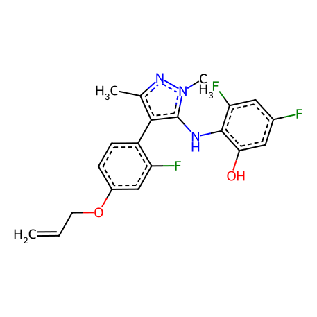 C=CCOc1ccc(-c2c(C)nn(C)c2Nc2c(O)cc(F)cc2F)c(F)c1